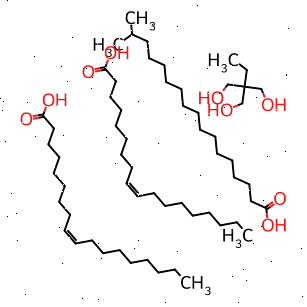 CC(C)CCCCCCCCCCCCCCC(=O)O.CCC(CO)(CO)CO.CCCCCCCC/C=C\CCCCCCCC(=O)O.CCCCCCCC/C=C\CCCCCCCC(=O)O